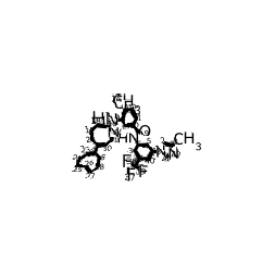 Cc1cn(-c2cc(NC(=O)c3ccc(C)c(NC4=C/CCC(C5=C/CC/C=C/C=C\5)=C/C=N\4)c3)cc(C(F)(F)F)c2)cn1